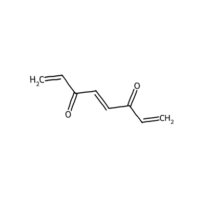 C=CC(=O)/C=C/C(=O)C=C